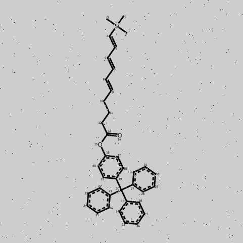 C[Si](C)(C)C=CC=CC=CCCCC(=O)Oc1ccc(C(c2ccccc2)(c2ccccc2)c2ccccc2)cc1